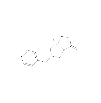 O=C1OC[C@H]2CN(Cc3ccccc3)CC12